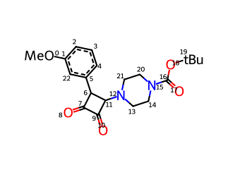 COc1cccc(C2C(=O)C(=O)C2N2CCN(C(=O)OC(C)(C)C)CC2)c1